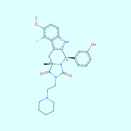 COc1ccc2[nH]c3c(c2c1F)C[C@@]1(C)C(=O)N(CCN2CCCCC2)C(=O)N1[C@@H]3c1cccc(O)c1